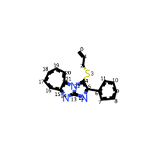 C=CCSc1c(-c2ccccc2)nc2nc3cccccc3n12